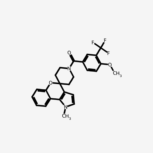 COc1ccc(C(=O)N2CCC3(CC2)Oc2ccccc2-c2c3ccn2C)cc1C(F)(F)F